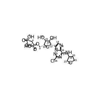 O=P(O)(O)CP(=O)(O)OC[C@H]1O[C@@H](c2cnc3c(NC4CCOC4)nc(Cl)nn23)[C@H](O)[C@@H]1O